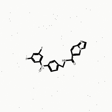 O=C(NCc1ccc([S@@+]([O-])c2cc(F)cc(F)c2)cc1)c1ccc2nccn2c1